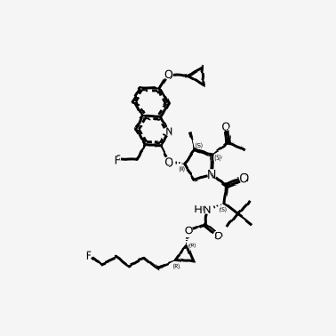 CC(=O)[C@@H]1[C@H](C)[C@@H](Oc2nc3cc(OC4CC4)ccc3cc2CF)CN1C(=O)[C@@H](NC(=O)O[C@@H]1C[C@H]1CCCCCF)C(C)(C)C